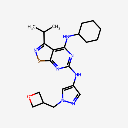 CC(C)c1nsc2nc(Nc3cnn(CC4COC4)c3)nc(NC3CCCCC3)c12